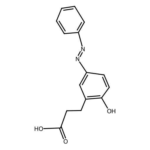 O=C(O)CCc1cc(N=Nc2ccccc2)ccc1O